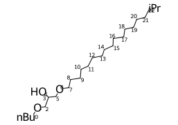 CCCCOCC(O)COCCCCCCCCCCCCCCCC(C)C